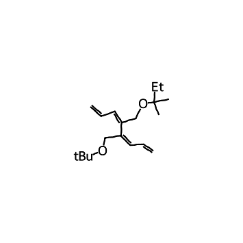 C=C/C=C(COC(C)(C)C)\C(=C/C=C)COC(C)(C)CC